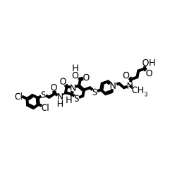 CN(CC[n+]1ccc(SCC2=C(C(=O)O)N3C(=O)[C@H](NC(=O)CSc4cc(Cl)ccc4Cl)[C@H]3SC2)cc1)C(=O)CCC(=O)O